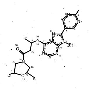 CCn1c(-c2cnc(C)nc2)nc2c(NC(C)CC(=O)N3CC(C)OC(C)C3)ncnc21